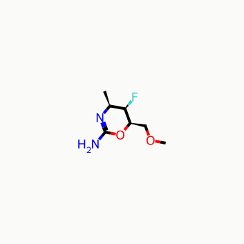 COC[C@H]1OC(N)=N[C@@H](C)[C@H]1F